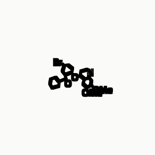 COc1cc2nccc(Oc3ccc(Br)cc3C(=O)c3ccccc3)c2cc1OC